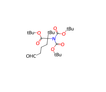 CC(C)(C)OC(=O)N(C(=O)OC(C)(C)C)C(CCCC=O)(C(=O)OC(C)(C)C)C(C)(C)C